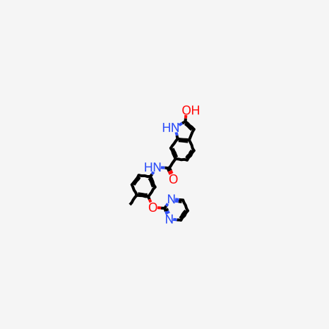 Cc1ccc(NC(=O)c2ccc3cc(O)[nH]c3c2)cc1Oc1ncccn1